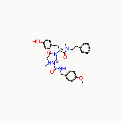 COc1ccc(CNC(=O)N2[C@@H](C)N([C@@H](Cc3ccc(O)cc3)C(=O)N(C)CCc3ccccc3)C(=O)CN2C)cc1